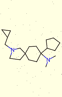 CN(C)C1(C2CCCC2)CCC2(CCN(CC3CC3)C2)CC1